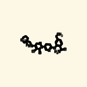 CCc1ccc(C(N)=O)c(Oc2ccc(-n3ncc(NC[C@@]4(F)CCCOC4)c(Cl)c3=O)cn2)c1